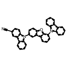 N#Cc1ccc2c(c1)c1ccccc1n2-c1ccc2oc3c(-n4c5ccccc5c5ccccc54)cccc3c2c1